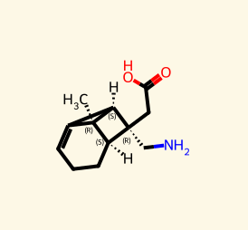 C[C@@]12C3=CCC[C@@H]1[C@](CN)(CC(=O)O)[C@H]32